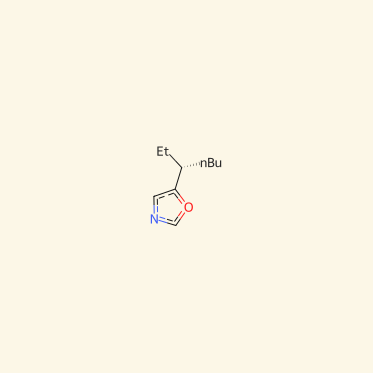 CCCC[C@@H](CC)c1cnco1